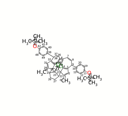 CC1=CC2=C(C=CC=CC2c2ccc(O[Si](C)(C)C)cc2)[C]12C1CCC(CC1)[C]1(C(C)=CC3=C1C=CC=CC3c1ccc(O[Si](C)(C)C)cc1)[Zr]2([Cl])[Cl]